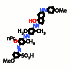 CCCOc1cc(N=Nc2cc(C)c(N=Nc3ccc4cc(Nc5ccc(OC)cc5)ccc4c3O)cc2C)c(C)cc1N=Nc1ccc(OC)cc1S(=O)(=O)O